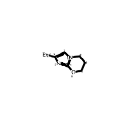 CCc1cn2c(n1)OCCC2